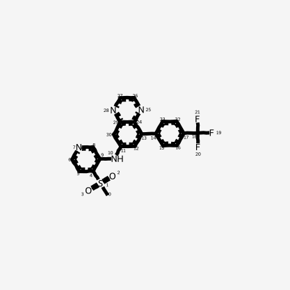 CS(=O)(=O)c1ccncc1Nc1cc(-c2ccc(C(F)(F)F)cc2)c2nccnc2c1